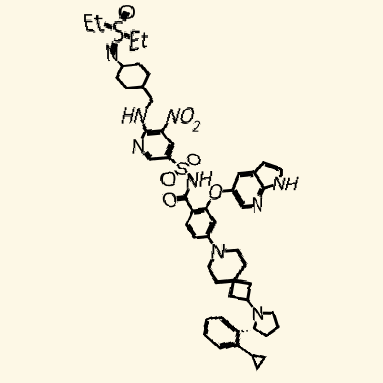 CCS(=O)(CC)=NC1CCC(CNc2ncc(S(=O)(=O)NC(=O)c3ccc(N4CCC5(CC4)CC(N4CCC[C@@H]4c4ccccc4C4CC4)C5)cc3Oc3cnc4[nH]ccc4c3)cc2[N+](=O)[O-])CC1